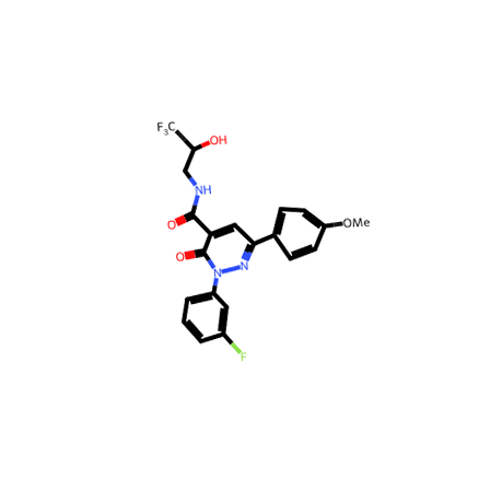 COc1ccc(-c2cc(C(=O)NCC(O)C(F)(F)F)c(=O)n(-c3cccc(F)c3)n2)cc1